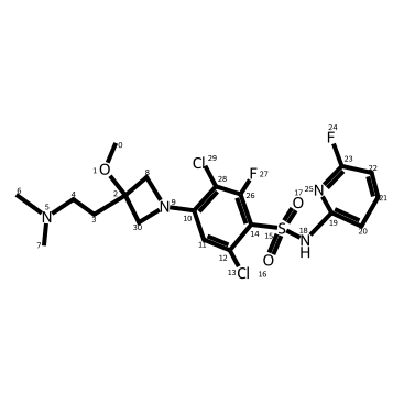 COC1(CCN(C)C)CN(c2cc(Cl)c(S(=O)(=O)Nc3cccc(F)n3)c(F)c2Cl)C1